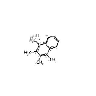 Cc1c(C)c(C)c2ccccc2c1C.[LiH]